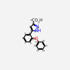 O=C(O)c1cc(-c2ccccc2Oc2ccccc2)[nH]n1